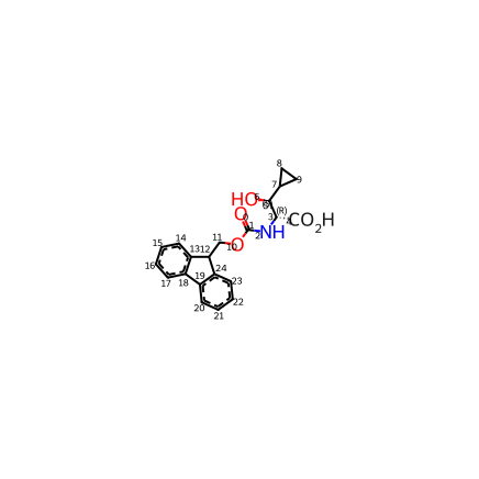 O=C(N[C@@H](C(=O)O)[C@@H](O)C1CC1)OCC1c2ccccc2-c2ccccc21